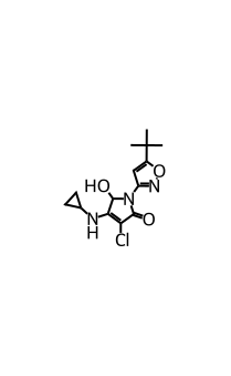 CC(C)(C)c1cc(N2C(=O)C(Cl)=C(NC3CC3)C2O)no1